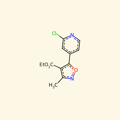 CCOC(=O)c1c(C)noc1-c1ccnc(Cl)c1